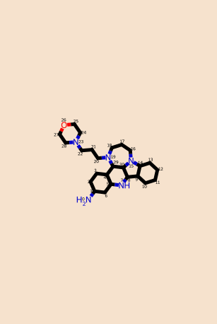 NC1CCC2C(C1)NC1C3CCCCC3N3CCCN(CCCN4CCOCC4)C2C13